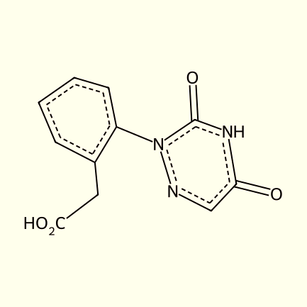 O=C(O)Cc1ccccc1-n1ncc(=O)[nH]c1=O